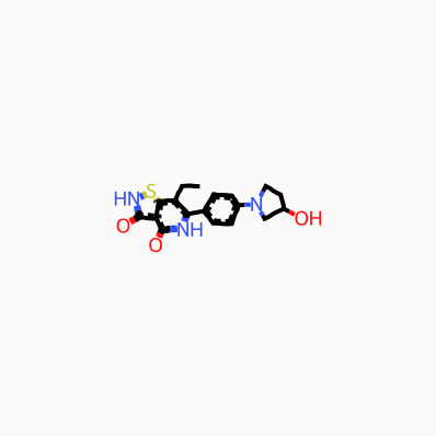 CCc1c(-c2ccc(N3CCC(O)C3)cc2)[nH]c(=O)c2c(=O)[nH]sc12